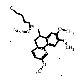 COc1ccc2c(c1)-c1cc(OC)c(OC)cc1C(C[C@@H](CCCCO)N=[N+]=[N-])C2